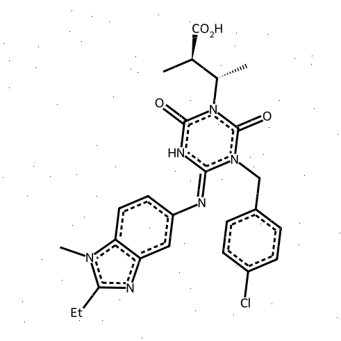 CCc1nc2cc(/N=c3\[nH]c(=O)n([C@@H](C)[C@@H](C)C(=O)O)c(=O)n3Cc3ccc(Cl)cc3)ccc2n1C